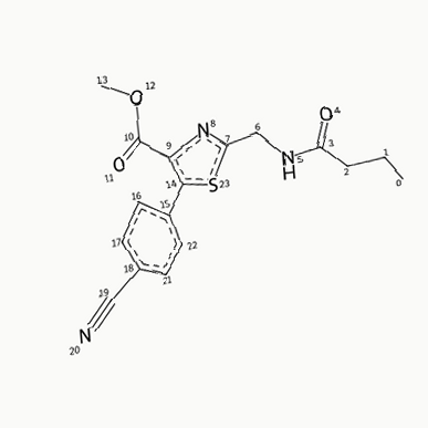 CCCC(=O)NCc1nc(C(=O)OC)c(-c2ccc(C#N)cc2)s1